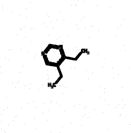 CCc1cn[c]nc1CC